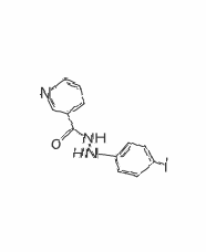 O=C(NNc1ccc(I)cc1)c1cccnc1